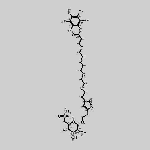 CS(=O)(=O)C[C@H]1O[C@H](OCCc2cn(CCOCCOCCOCCOCCC(=O)Oc3c(F)c(F)c(F)c(F)c3F)nn2)[C@@H](O)[C@@H](O)[C@@H]1O